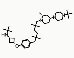 C[C@H]1CC(N2CCN(C(C)(C)C)CC2)CCN1CC(C)(C)CCC(C)(C)Cc1ccc(O[C@H]2C[C@H](NC(C)(C)C)C2)cc1